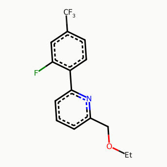 CCOCc1cccc(-c2ccc(C(F)(F)F)cc2F)n1